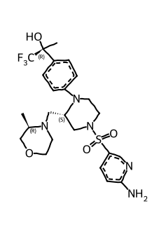 C[C@@H]1COCCN1C[C@H]1CN(S(=O)(=O)c2ccc(N)nc2)CCN1c1ccc([C@@](C)(O)C(F)(F)F)cc1